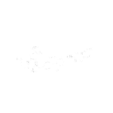 CCCC(=O)N1[C@@H](C)CC[C@H]1c1ncc(-c2cc3c4c(c2)OCc2cc(-c5cnc([C@@H]6CC[C@H](C)N6C(=O)C[C@@H](C)OC)[nH]5)cc(c2-4)OC3)[nH]1